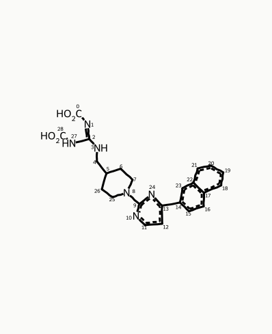 O=C(O)N=C(NCC1CCN(c2nccc(-c3ccc4ccccc4c3)n2)CC1)NC(=O)O